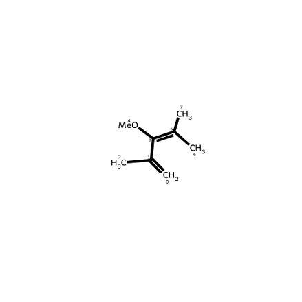 C=C(C)C(OC)=C(C)C